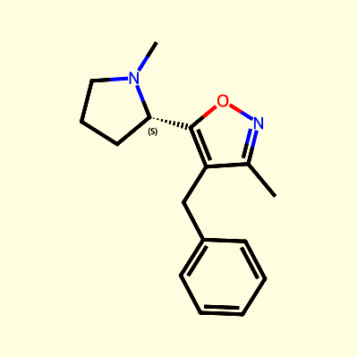 Cc1noc([C@@H]2CCCN2C)c1Cc1ccccc1